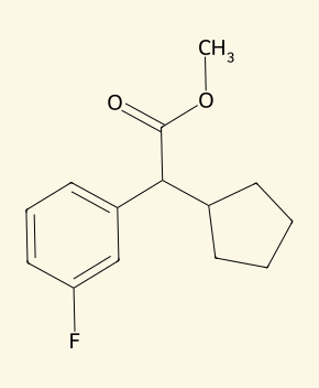 COC(=O)C(c1cccc(F)c1)C1CCCC1